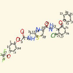 O=C(COc1ccc(OC(F)(F)F)cc1)NCc1nc(C(=O)NCc2c(Cl)cccc2Oc2ccccc2)cs1